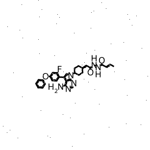 CC=CC(=O)NNC(=O)C=C1CCC(n2cc(-c3ccc(Oc4ccccc4)cc3F)c3c(N)ncnc32)CC1